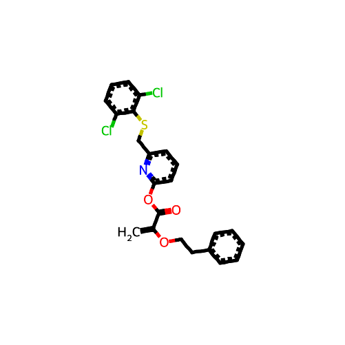 C=C(OCCc1ccccc1)C(=O)Oc1cccc(CSc2c(Cl)cccc2Cl)n1